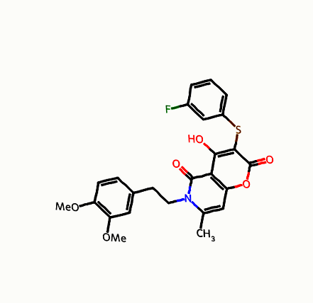 COc1ccc(CCn2c(C)cc3oc(=O)c(Sc4cccc(F)c4)c(O)c3c2=O)cc1OC